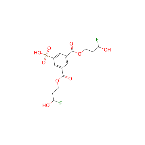 O=C(OCCC(O)F)c1cc(C(=O)OCCC(O)F)cc(S(=O)(=O)O)c1